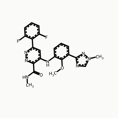 CNC(=O)c1nnc(-c2c(F)cccc2F)cc1Nc1cccc(-c2ncn(C)n2)c1OC